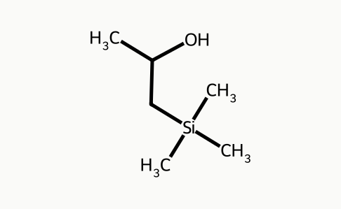 CC(O)C[Si](C)(C)C